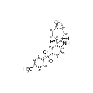 Cc1ccc(S(=O)(=O)c2ccc3c(c2)[C@@H]2CCN(C)CC[C@@H]2N3)cc1